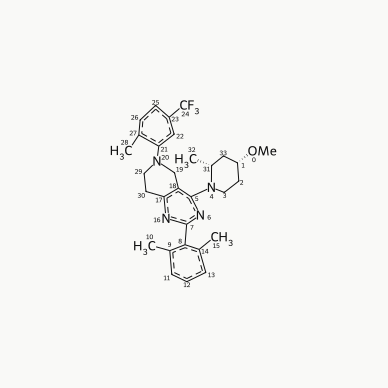 CO[C@@H]1CCN(c2nc(-c3c(C)cccc3C)nc3c2CN(c2cc(C(F)(F)F)ccc2C)CC3)[C@H](C)C1